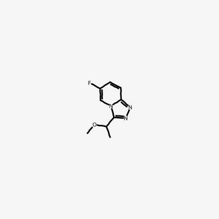 COC(C)c1nnc2ccc(F)cn12